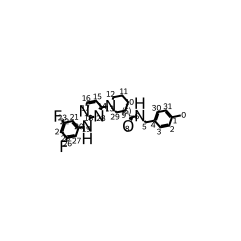 Cc1ccc(CNC(=O)[C@H]2CCCN(c3ccnc(Nc4cc(F)cc(F)c4)n3)C2)cc1